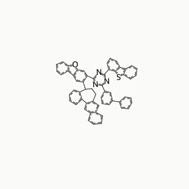 c1ccc(-c2cccc(-c3nc(-c4cc5oc6ccccc6c5cc4C4CCc5cc6ccccc6cc5-c5ccccc54)nc(-c4cccc5c4sc4ccccc45)n3)c2)cc1